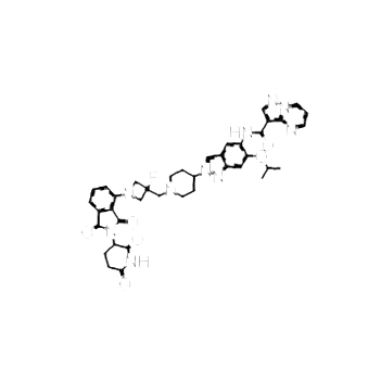 CC(C)Oc1cc2nn(C3CCN(CC4(F)CN(c5cccc6c5C(=O)N(C5CCC(=O)NC5=O)C6=O)C4)CC3)cc2cc1NC(=O)c1cnn2cccnc12